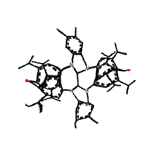 Cc1cc2c(cc1C)N(c1cc(C(C)C)c(C)c(C(C)C)c1)C(C1N(c3cc(C(C)C)c(C)c(C(C)C)c3)c3cc(C)c(C)cc3N1c1cc(C(C)C)c(C)c(C(C)C)c1)N2c1cc(C(C)C)c(C)c(C(C)C)c1